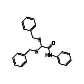 O=C(Nc1ccccc1)C(SCc1ccccc1)SCc1ccccc1